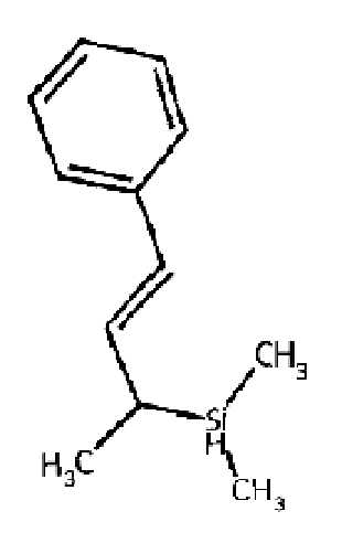 CC(/C=C/c1ccccc1)[SiH](C)C